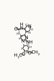 COc1ccc(Nc2ncc3c(n2)-c2ccncc2NC(=O)C3)cc1OC